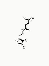 O=C(O)/C=C/C(=O)OCCc1scc(Br)c1Br